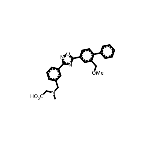 COCc1cc(-c2nc(-c3cccc(CN(C)CC(=O)O)c3)no2)ccc1-c1ccccc1